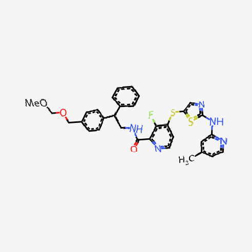 COCOCc1ccc(C(CNC(=O)c2nccc(Sc3cnc(Nc4cc(C)ccn4)s3)c2F)c2ccccc2)cc1